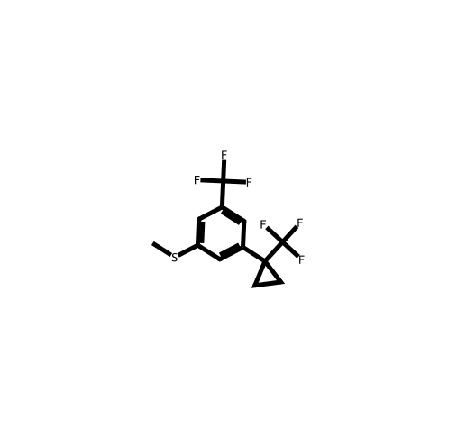 CSc1cc(C(F)(F)F)cc(C2(C(F)(F)F)CC2)c1